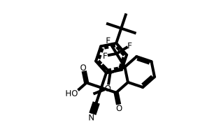 COC(C)C1(C(F)(F)F)C=CC=CC1C(=O)C(C#N)(C(=O)O)c1ccc(C(C)(C)C)cc1